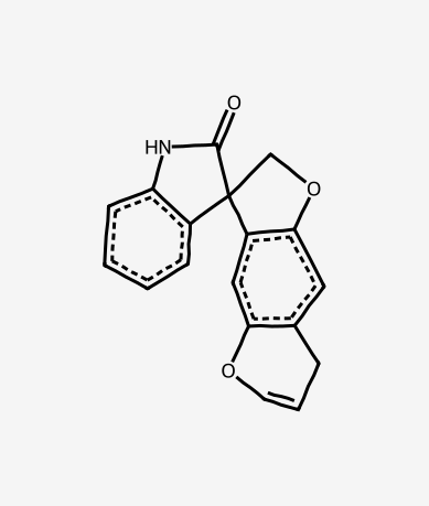 O=C1Nc2ccccc2C12COc1cc3c(cc12)OC=CC3